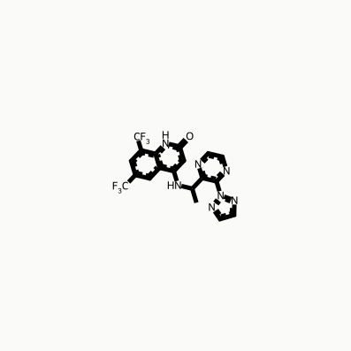 CC(Nc1cc(=O)[nH]c2c(C(F)(F)F)cc(C(F)(F)F)cc12)c1nccnc1-n1nccn1